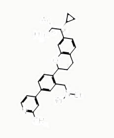 CCN(Cc1cc(-c2ccnc(C)c2)ccc1C1CCc2ccc([C@H](C3CC3)[C@H](C)C(C)=O)cc2O1)C(C)C